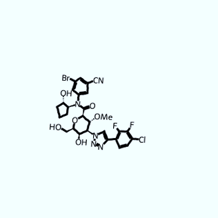 CO[C@@H]1[C@@H](n2cc(-c3ccc(Cl)c(F)c3F)nn2)[C@@H](O)[C@@H](CO)O[C@H]1C(=O)N(c1cc(Br)cc(C#N)c1)[C@H]1CCC[C@@H]1O